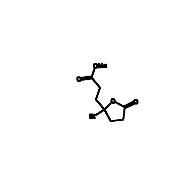 CCC1(CCC(=O)OC)CCC(=O)O1